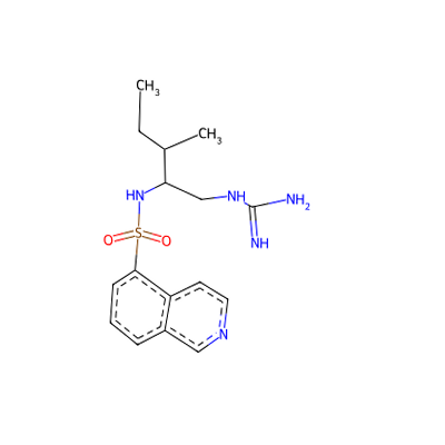 CCC(C)C(CNC(=N)N)NS(=O)(=O)c1cccc2cnccc12